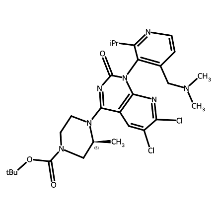 CC(C)c1nccc(CN(C)C)c1-n1c(=O)nc(N2CCN(C(=O)OC(C)(C)C)C[C@@H]2C)c2cc(Cl)c(Cl)nc21